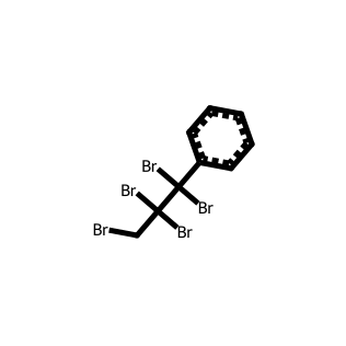 BrCC(Br)(Br)C(Br)(Br)c1ccccc1